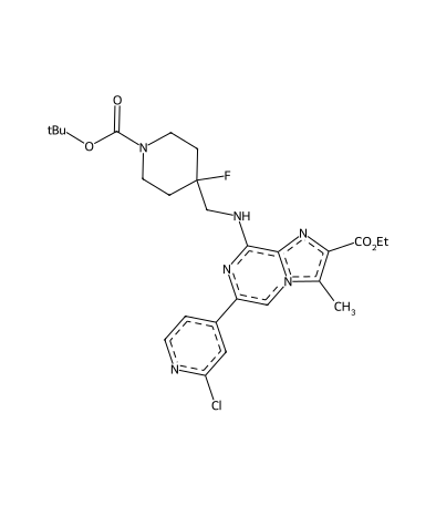 CCOC(=O)c1nc2c(NCC3(F)CCN(C(=O)OC(C)(C)C)CC3)nc(-c3ccnc(Cl)c3)cn2c1C